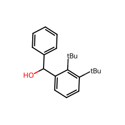 CC(C)(C)c1cccc(C(O)c2ccccc2)c1C(C)(C)C